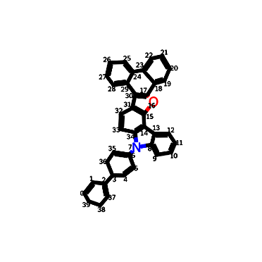 C1=CC(C2C=CC(n3c4ccccc4c4c5oc6c7ccccc7c7ccccc7c6c5ccc43)=CC2)=CCC1